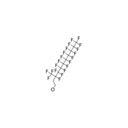 [O]CCC(F)(C(F)(F)F)C(F)(F)C(F)(F)C(F)(F)C(F)(F)C(F)(F)C(F)(F)C(F)(F)C(F)(F)F